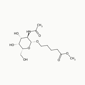 COC(=O)CCCCO[C@@H]1O[C@H](CO)[C@H](O)[C@H](O)[C@H]1NC(C)=O